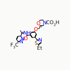 CCc1cnc(-c2cc(OC[C@@H]3CN(C(=O)O)CCO3)cc(C(=O)N[C@H](C)c3ccc(C(F)(F)F)nn3)c2)s1